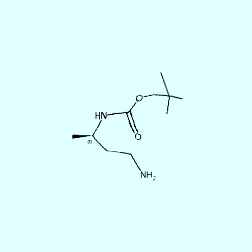 C[C@H](CCN)NC(=O)OC(C)(C)C